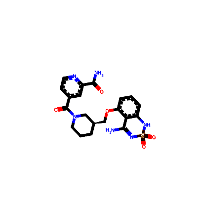 NC(=O)c1cc(C(=O)N2CCC[C@H](COc3cccc4c3C(N)=NS(=O)(=O)N4)C2)ccn1